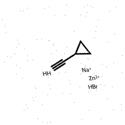 Br.C#CC1CC1.[HH].[Na+].[Zn+2]